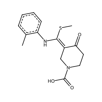 CSC(Nc1ccccc1C)=C1CN(C(=O)O)CCC1=O